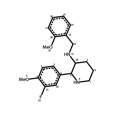 COc1ccc(C2NCCCC2NCc2ccccc2OC)cc1F